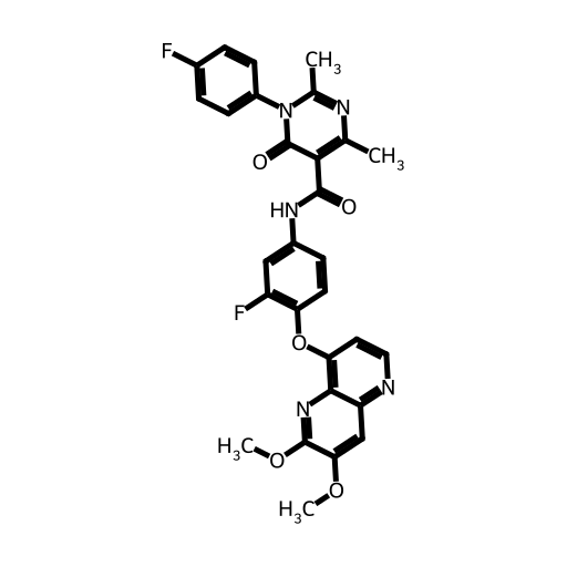 COc1cc2nccc(Oc3ccc(NC(=O)c4c(C)nc(C)n(-c5ccc(F)cc5)c4=O)cc3F)c2nc1OC